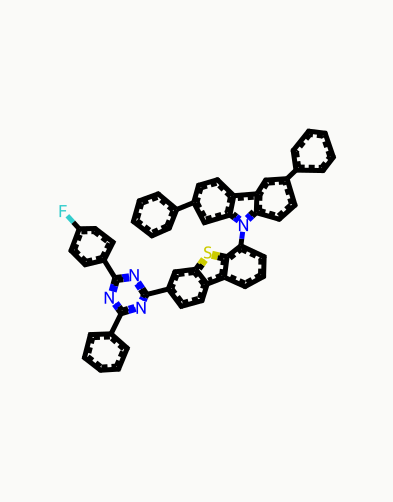 Fc1ccc(-c2nc(-c3ccccc3)nc(-c3ccc4c(c3)sc3c(-n5c6ccc(-c7ccccc7)cc6c6ccc(-c7ccccc7)cc65)cccc34)n2)cc1